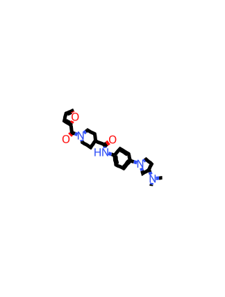 CN(C)C1CCN(c2ccc(NC(=O)C3CCN(C(=O)c4ccco4)CC3)cc2)C1